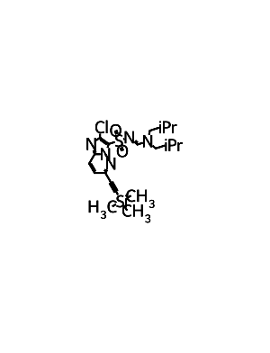 CC(C)CN(C=NS(=O)(=O)c1c(Cl)nc2ccc(C#C[Si](C)(C)C)nn12)CC(C)C